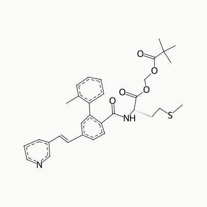 CSCC[C@H](NC(=O)c1ccc(C=Cc2cccnc2)cc1-c1ccccc1C)C(=O)OCOC(=O)C(C)(C)C